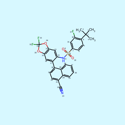 CC(C)(C)c1ccc(S(=O)(=O)Nc2cc3c(cc2-c2ccc(C#N)c4ccccc24)OC(F)(F)O3)cc1F